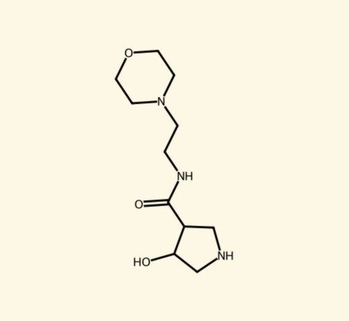 O=C(NCCN1CCOCC1)C1CNCC1O